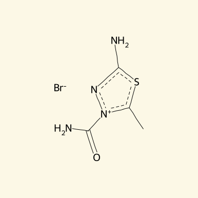 Cc1sc(N)n[n+]1C(N)=O.[Br-]